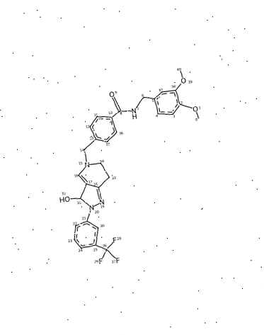 COc1ccc(CNC(=O)c2ccc(CN3C=C4C(=NN(c5cccc(C(F)(F)F)c5)C4O)CC3)cc2)cc1OC